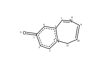 O=c1ccn2c(c1)C=NC=CC2